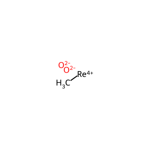 [CH3][Re+4].[O-2].[O-2]